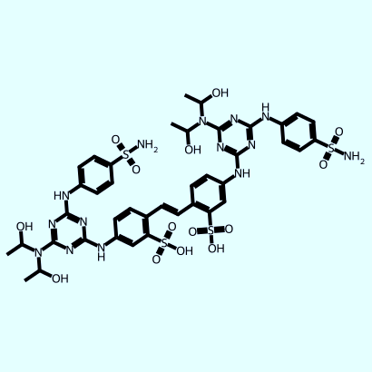 CC(O)N(c1nc(Nc2ccc(S(N)(=O)=O)cc2)nc(Nc2ccc(C=Cc3ccc(Nc4nc(Nc5ccc(S(N)(=O)=O)cc5)nc(N(C(C)O)C(C)O)n4)cc3S(=O)(=O)O)c(S(=O)(=O)O)c2)n1)C(C)O